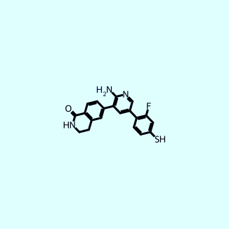 Nc1ncc(-c2ccc(S)cc2F)cc1-c1ccc2c(c1)CCNC2=O